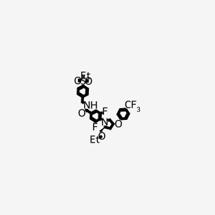 CCOC[C@@H]1C[C@@H](Oc2ccc(C(F)(F)F)cc2)CN1c1c(F)cc(C(=O)NCc2ccc(S(=O)(=O)CC)cc2)cc1F